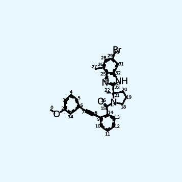 COc1cccc(C#Cc2ccccc2C(=O)N2CCC[C@@]2(C)c2nc3c(C)cc(Br)cc3[nH]2)c1